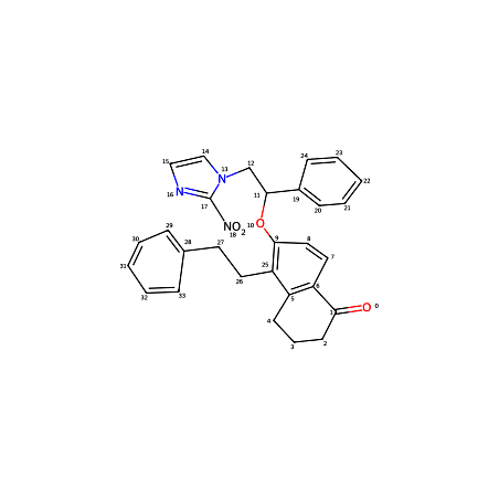 O=C1CCCc2c1ccc(OC(Cn1ccnc1[N+](=O)[O-])c1ccccc1)c2CCc1ccccc1